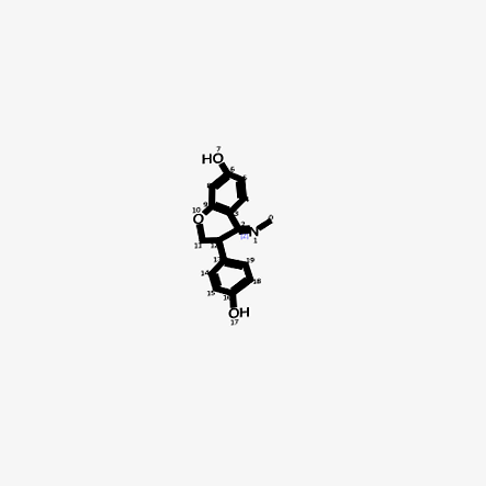 C/N=C1\c2ccc(O)cc2OCC1c1ccc(O)cc1